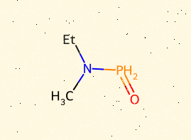 CCN(C)[PH2]=O